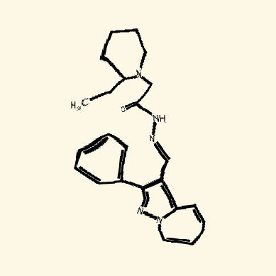 CCC1CCCCN1CC(=O)NN=Cc1c(-c2ccccc2)nn2ccccc12